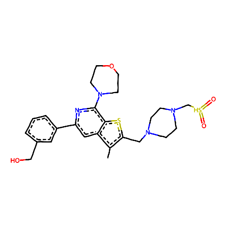 Cc1c(CN2CCN(C[SH](=O)=O)CC2)sc2c(N3CCOCC3)nc(-c3cccc(CO)c3)cc12